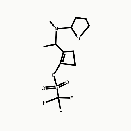 CC(C1=C(OS(=O)(=O)C(F)(F)F)CC1)N(C)C1CCCO1